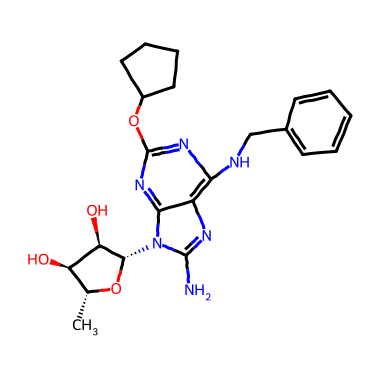 C[C@H]1O[C@@H](n2c(N)nc3c(NCc4ccccc4)nc(OC4CCCC4)nc32)[C@H](O)[C@@H]1O